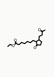 CCOC(=O)CCCCCCC1C(=O)CCC1CCC(C)=O